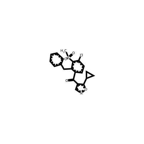 CS(=O)(=O)c1c(Cl)ccc(C(=O)c2cnoc2C2CC2)c1Cc1ccccc1